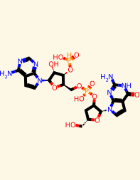 Nc1nc2c(ccn2[C@@H]2O[C@H](CO)CC2OP(=O)(O)OC[C@H]2O[C@@H](n3ccc4c(N)ncnc43)[C@H](O)[C@@H]2O[PH](=O)O)c(=O)[nH]1